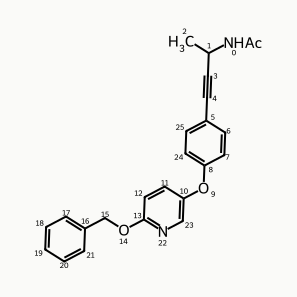 CC(=O)NC(C)C#Cc1ccc(Oc2ccc(OCc3ccccc3)nc2)cc1